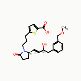 COCc1cccc(C[C@H](O)/C=C/[C@H]2CCC(=O)N2CCCc2ccc(C(=O)O)s2)c1